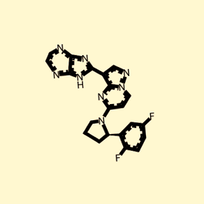 Fc1ccc(F)c([C@H]2CCCN2c2ccn3ncc(-c4nc5nccnc5[nH]4)c3n2)c1